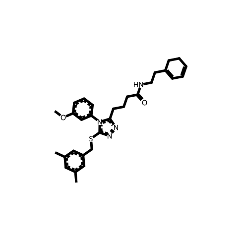 COc1cccc(-n2c(CCCC(=O)NCCC3=CC=CCC3)nnc2SCc2cc(C)cc(C)c2)c1